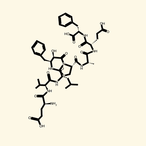 CC(C)C[C@H](NC(=O)[C@@H](NC(=O)[C@@H](N)CCC(=O)O)C(C)C)C(=O)N[C@@H](Cc1ccccc1)[C@@H](O)C(=O)N1CSC[C@H]1C(=O)N[C@@H](C)C(=O)N[C@@H](CCC(=O)O)C(=O)N[C@@H](Cc1ccccc1)C(=O)O